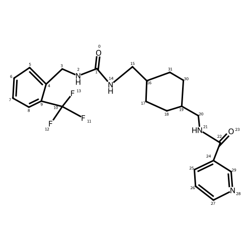 O=C(NCc1ccccc1C(F)(F)F)NCC1CCC(CNC(=O)c2cccnc2)CC1